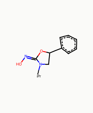 CC(C)N1CC(c2ccccc2)O/C1=N/O